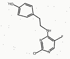 Oc1ccc(CCNc2nc(Cl)ncc2F)cc1